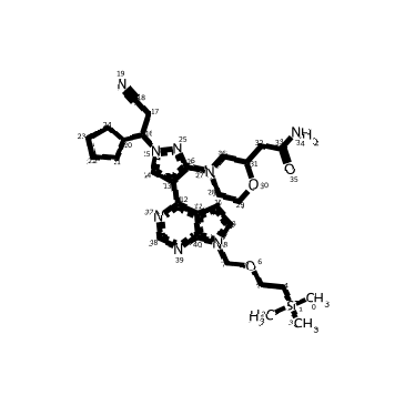 C[Si](C)(C)CCOCn1ccc2c(-c3cn(C(CC#N)C4CCCC4)nc3N3CCOC(CC(N)=O)C3)ncnc21